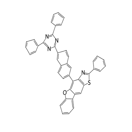 c1ccc(-c2nc(-c3ccccc3)nc(-c3ccc4cc(-c5c6nc(-c7ccccc7)sc6cc6c5oc5ccccc56)ccc4c3)n2)cc1